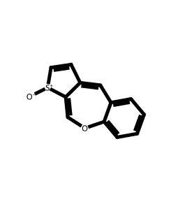 [O-][s+]1ccc2c1=COc1ccccc1C=2